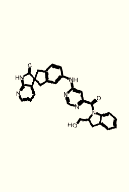 O=C(c1cc(Nc2ccc3c(c2)CC2(C3)C(=O)Nc3ncccc32)ncn1)N1c2ccccc2CC1CO